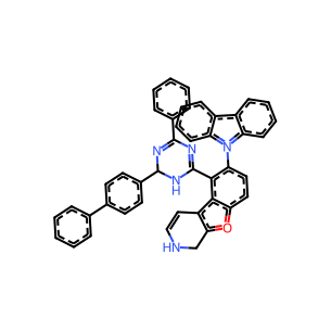 C1=Cc2c(oc3ccc(-n4c5ccccc5c5ccccc54)c(C4=NC(c5ccccc5)=NC(c5ccc(-c6ccccc6)cc5)N4)c23)CN1